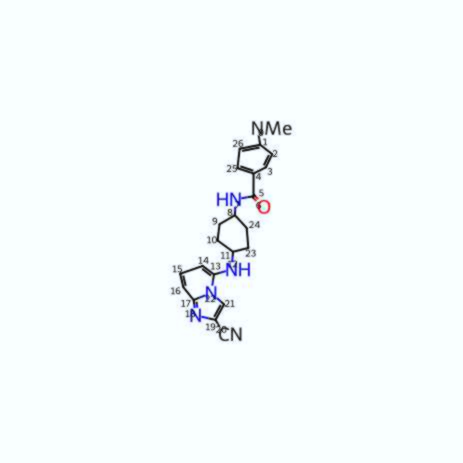 CNc1ccc(C(=O)NC2CCC(Nc3cccc4nc(C#N)cn34)CC2)cc1